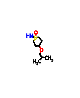 CC(C)COC1CCS(=N)(=O)CC1